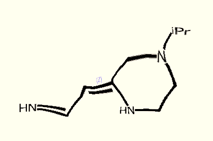 CC(C)N1CCN/C(=C\C=N)C1